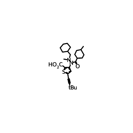 CC1CCC(C(=O)N(c2cc(C#CC(C)(C)C)sc2C(=O)O)N(C)CC2CCCCC2)CC1